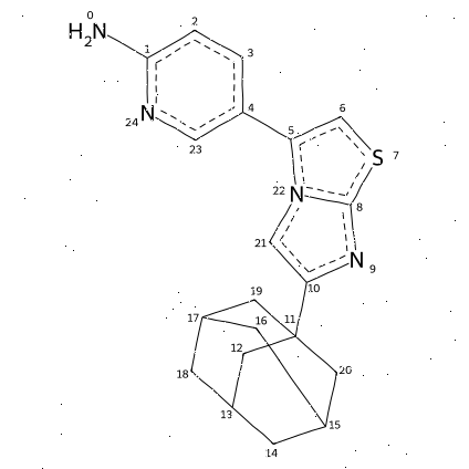 Nc1ccc(-c2csc3nc(C45CC6CC(CC(C6)C4)C5)cn23)cn1